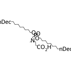 CCCCCCCCCCCCCCCCCCOP(=O)(CN(C)CCC(=O)O)OCCCCCCCCCCCCCCCCCC